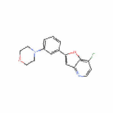 Clc1ccnc2cc(-c3cccc(N4CCOCC4)c3)oc12